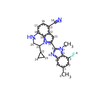 Cc1cc(F)c2c(c1)nc(-c1cc3c(C#N)ccc4c3n1C(C1CC1)CN4)n2C